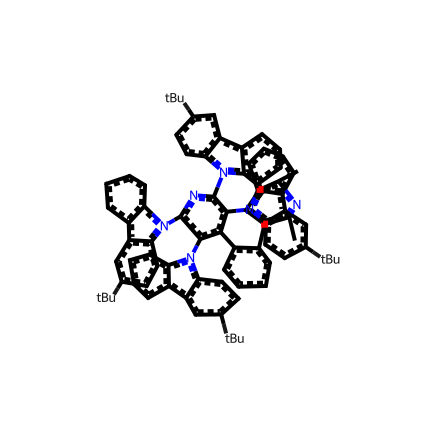 Cc1ccc(-c2ccccc2-c2c(-n3c4ccccc4c4cc(C(C)(C)C)ccc43)c(-n3c4ccccc4c4cc(C(C)(C)C)ccc43)nc(-n3c4ccccc4c4cc(C(C)(C)C)ccc43)c2-n2c3ccccc3c3cc(C(C)(C)C)ccc32)c(C)n1